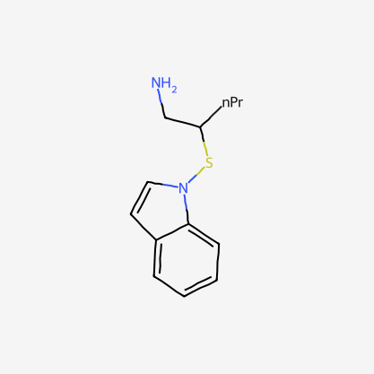 CCCC(CN)Sn1ccc2ccccc21